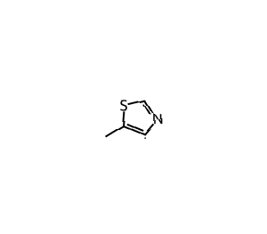 Cc1[c]ncs1